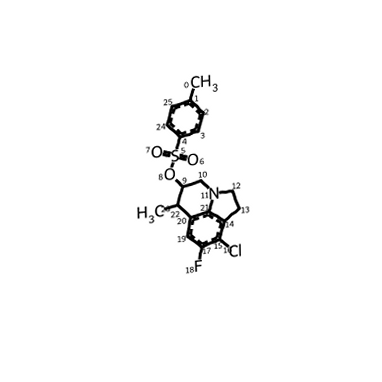 Cc1ccc(S(=O)(=O)OC2CN3CCc4c(Cl)c(F)cc(c43)C2C)cc1